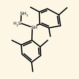 Cc1cc(C)c([SiH]([SiH2][SiH3])c2c(C)cc(C)cc2C)c(C)c1